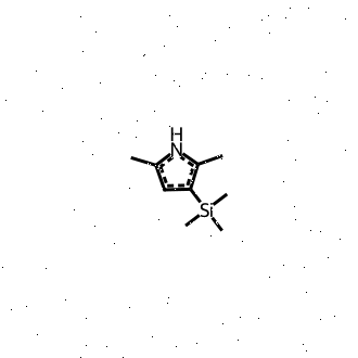 Cc1cc([Si](C)(C)C)c(C)[nH]1